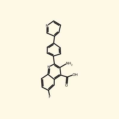 Nc1c(-c2ccc(-c3cccnc3)cc2)nc2ccc(F)cc2c1C(=O)O